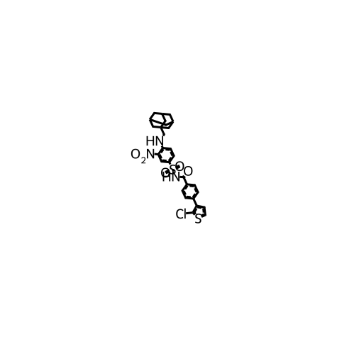 O=C(NS(=O)(=O)c1ccc(NCC23CC4CC(CC(C4)C2)C3)c([N+](=O)[O-])c1)c1ccc(-c2ccsc2Cl)cc1